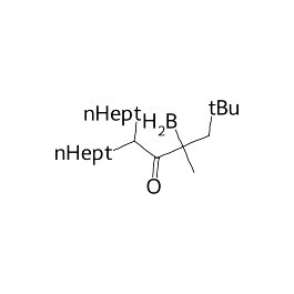 BC(C)(CC(C)(C)C)C(=O)C(CCCCCCC)CCCCCCC